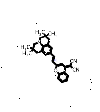 CC1(C)Cc2cc(/C=C/C3=CC(=C(C#N)C#N)c4ccccc4O3)cc3c2N(C1)CC(C)(C)C3